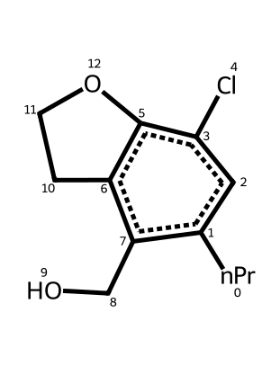 CCCc1cc(Cl)c2c(c1CO)CCO2